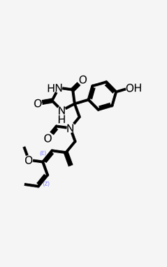 C=C(/C=C(\C=C/C)OC)CN(C=O)CC1(c2ccc(O)cc2)NC(=O)NC1=O